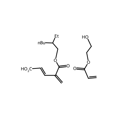 C=C(C=CC(=O)O)C(=O)OCC(CC)CCCC.C=CC(=O)OCCO